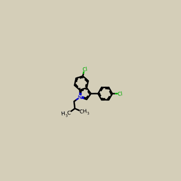 CC(C)Cn1cc(-c2ccc(Cl)cc2)c2cc(Cl)ccc21